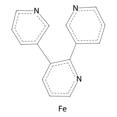 [Fe].c1cncc(-c2cccnc2-c2cccnc2)c1